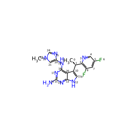 C[C@@H](c1ncc(F)cc1F)c1c[nH]c2nc(N)nc(Nc3cn(C)cn3)c12